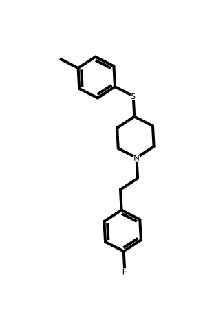 Cc1ccc(SC2CCN(CCc3ccc(F)cc3)CC2)cc1